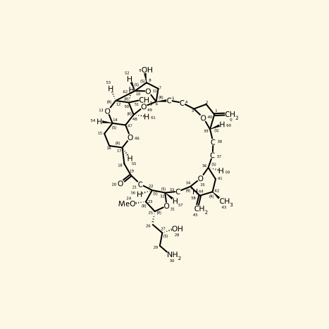 C=C1CC2CC[C@]34C[C@H](O)[C@H](O3)[C@@H]3O[C@H]5CC[C@H](CC(=O)C[C@@H]6[C@@H](OC)[C@@H](C[C@H](O)CN)O[C@H]6C[C@H]6O[C@@H](CC[C@@H]1O2)C[C@@H](C)C6=C)OC5[C@H](O4)[C@@H]3C